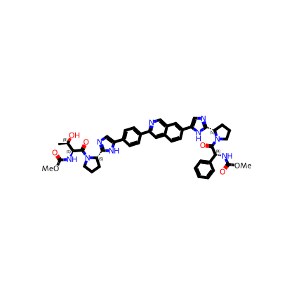 COC(=O)N[C@H](C(=O)N1CCC[C@H]1c1ncc(-c2ccc(-c3cc4ccc(-c5cnc([C@@H]6CCCN6C(=O)[C@H](NC(=O)OC)c6ccccc6)[nH]5)cc4cn3)cc2)[nH]1)[C@@H](C)O